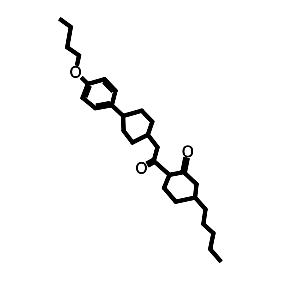 CCCCCC1CCC(C(=O)CC2CCC(c3ccc(OCCCC)cc3)CC2)C(=O)C1